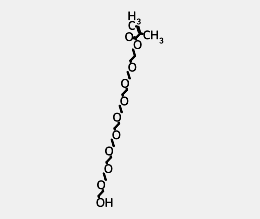 CC=C(C)C(=O)OCCCOCCOCCOCCOCCOCCOCCOCCOCCO